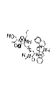 CCCC(=O)NC(CSSCC(NC(=O)C(Cc1ccccc1)Nc1ccc2ccccc2n1)C(N)=O)C(=O)NC(CO)C(C)O